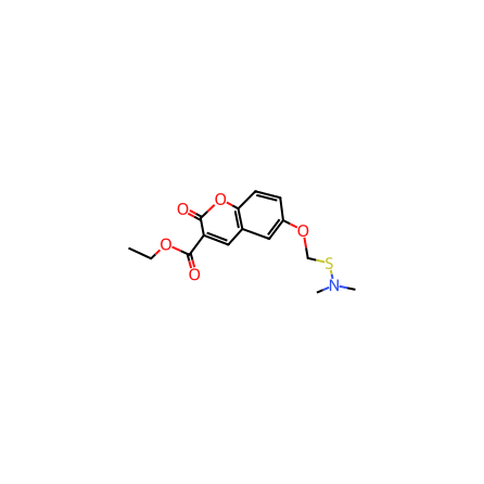 CCOC(=O)c1cc2cc(OCSN(C)C)ccc2oc1=O